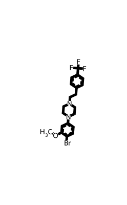 COc1cc(N2CCN(CCc3ccc(C(F)(F)F)cc3)CC2)ccc1Br